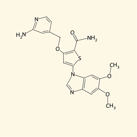 COc1cc2ncn(-c3cc(OCc4ccnc(N)c4)c(C(N)=O)s3)c2cc1OC